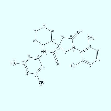 Cc1cccc(C)c1N1CC(C(=O)Nc2cc(C(F)(F)F)cc(C(F)(F)F)c2)(C2CCCCC2)CC1=O